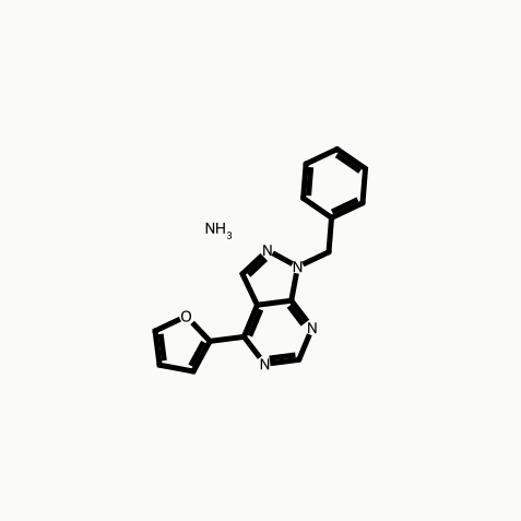 N.c1ccc(Cn2ncc3c(-c4ccco4)ncnc32)cc1